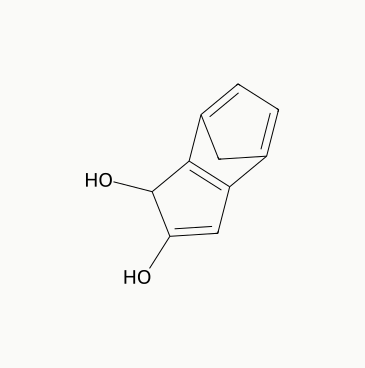 OC1=CC2=C(C3=CC=C2C3)C1O